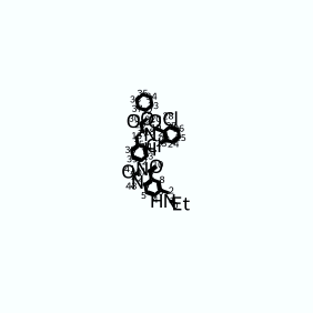 CCNCc1ccc2c(c1)c(=O)n(-c1ccc(C[C@H](NC(=O)c3c(Cl)cccc3Cl)C(=O)OC3CCCCC3)cc1)c(=O)n2C